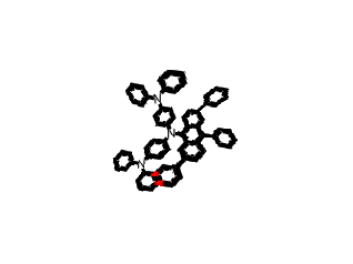 c1ccc(-c2ccc3c(N(c4ccc(N(c5ccccc5)c5ccccc5)cc4)c4ccc(N(c5ccccc5)c5ccccc5)cc4)c4cc(-c5ccccc5)ccc4c(-c4ccccc4)c3c2)cc1